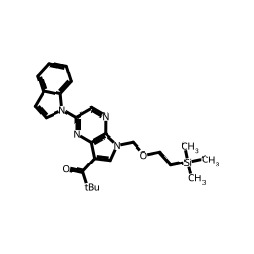 CC(C)(C)C(=O)c1cn(COCC[Si](C)(C)C)c2ncc(-n3ccc4ccccc43)nc12